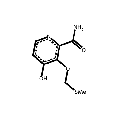 CSCOc1c(O)ccnc1C(N)=O